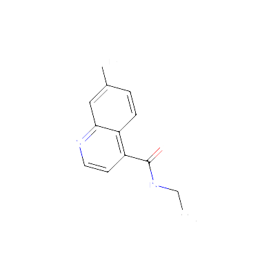 O=Cc1ccc2c(C(=O)NCC(=O)O)ccnc2c1